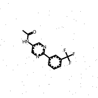 CC(=O)Nc1cnc(-c2cccc(C(F)(F)F)c2)nc1